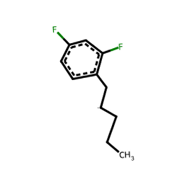 CCC[CH]Cc1ccc(F)cc1F